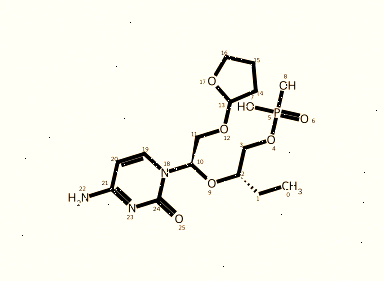 CC[C@@H](COP(=O)(O)O)O[C@H](COC1CCCO1)n1ccc(N)nc1=O